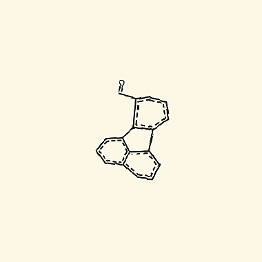 O=Cc1cccc2c1-c1cccc3cccc-2c13